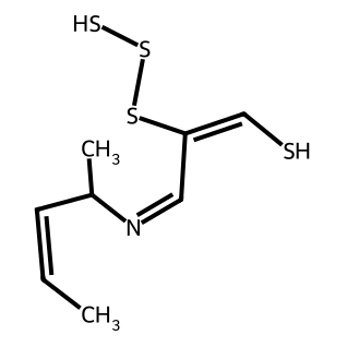 C/C=C\C(C)/N=C\C(=C/S)SSS